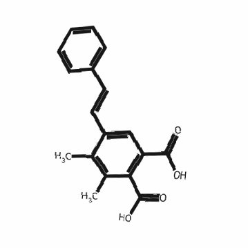 Cc1c(C=Cc2ccccc2)cc(C(=O)O)c(C(=O)O)c1C